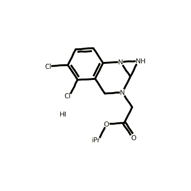 CC(C)OC(=O)CN1Cc2c(ccc(Cl)c2Cl)N2NC12.I